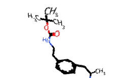 C[C@@H](N)Cc1cccc(CCNC(=O)OC(C)(C)C)c1